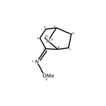 CO/N=C1/CCC2CCC1N2C